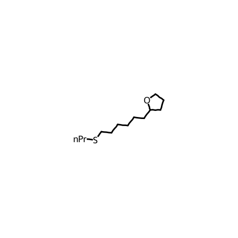 CCCSCCCCCCC1CCCO1